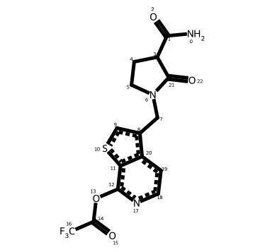 NC(=O)C1CCN(Cc2csc3c(OC(=O)C(F)(F)F)nccc23)C1=O